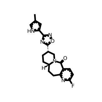 Cc1c[nH]c(-c2noc([C@H]3CC[C@H]4CCc5nc(F)ccc5C(=O)N4C3)n2)c1